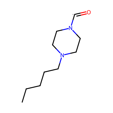 CCCCCN1CCN([C]=O)CC1